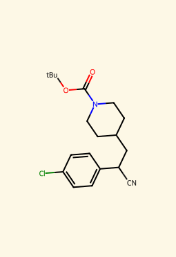 CC(C)(C)OC(=O)N1CCC(CC(C#N)c2ccc(Cl)cc2)CC1